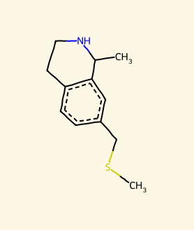 CSCc1ccc2c(c1)C(C)NCC2